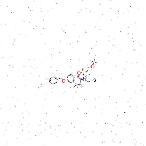 CCN(CC1CC1)[C@@H]1[C@H](OC(C)(C)CCOC(C)(C)C)c2ccc(OCc3ccccc3)cc2C(C)(C)[C@H]1C